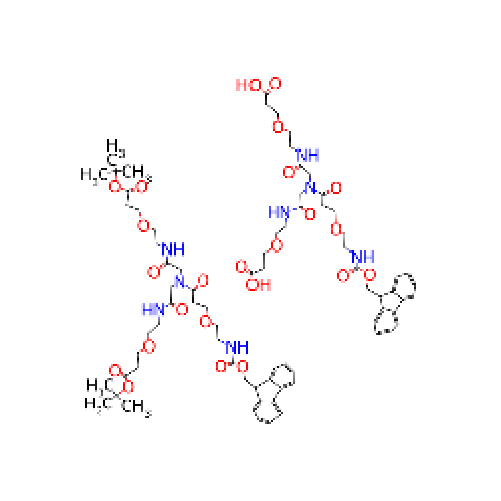 CC(C)(C)OC(=O)CCOCCNC(=O)CN(CC(=O)NCCOCCC(=O)OC(C)(C)C)C(=O)CCOCCNC(=O)OCC1c2ccccc2-c2ccccc21.O=C(O)CCOCCNC(=O)CN(CC(=O)NCCOCCC(=O)O)C(=O)CCOCCNC(=O)OCC1c2ccccc2-c2ccccc21